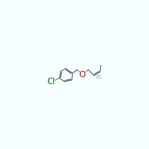 C/C=C\COCc1ccc(Cl)cc1